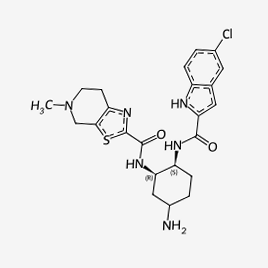 CN1CCc2nc(C(=O)N[C@@H]3CC(N)CC[C@@H]3NC(=O)c3cc4cc(Cl)ccc4[nH]3)sc2C1